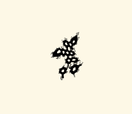 Cc1cccc(N(c2cccc(C)c2)c2ccc(-c3c4ccccc4c(-c4cccc5c4C(C)(C)c4ccccc4-5)c4cc5ccccc5cc34)c3ccccc23)c1